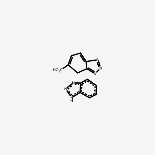 O=C(O)C1=CC=C2N=NN=C2C1.c1ccc2[nH]nnc2c1